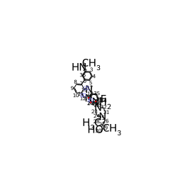 CNc1cccc(C2=CC=CC(=C/N=C/N)/C2=N\c2ccc(N3CCN(CC(C)(C)O)CC3)c(F)c2)c1